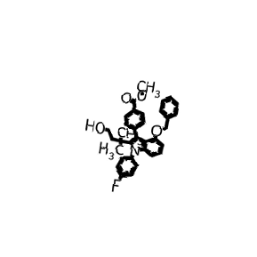 COC(=O)c1ccc(-c2c(C(C)(C)CCO)n(-c3ccc(F)cc3)c3cccc(OCc4ccccc4)c23)cc1